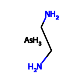 NCCN.[AsH3]